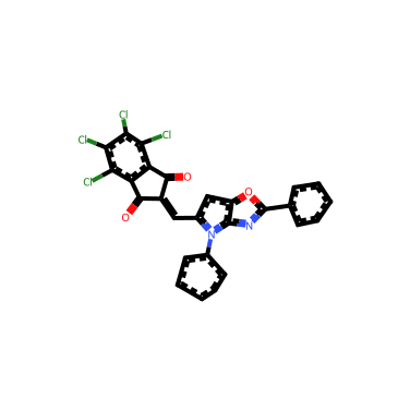 O=C1C(=Cc2cc3oc(-c4ccccc4)nc3n2-c2ccccc2)C(=O)c2c(Cl)c(Cl)c(Cl)c(Cl)c21